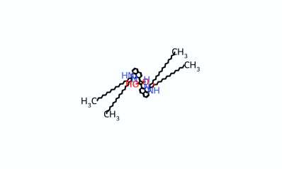 CCCCCCCCCCCCCCCCCC1(CCCCCCCCCCCCCCCCC)N=c2/c(=C3/C(=O)C(c4ccc5cccc6c5c4NC(CCCCCCCCCCCCCCCCC)(CCCCCCCCCCCCCCCCC)N6)=C3O)ccc3cccc(c23)N1